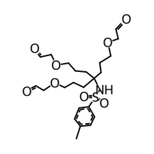 Cc1ccc(S(=O)(=O)NC(CCCOCC=O)(CCCOCC=O)CCCOCC=O)cc1